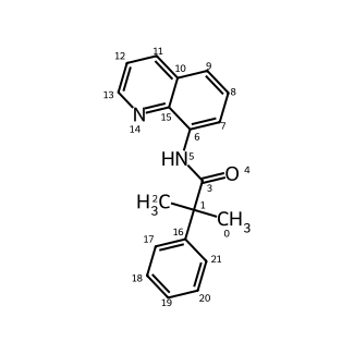 CC(C)(C(=O)Nc1cccc2cccnc12)c1ccccc1